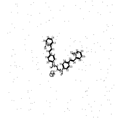 CN(CCN(C)c1ccc(/C=C/c2cccc[n+]2C)cc1)c1ccc(/C=C/c2cccc[n+]2C)cc1.[Cl-].[Cl-]